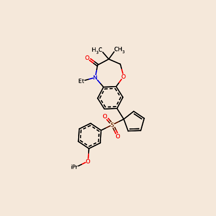 CCN1C(=O)C(C)(C)COc2cc(C3(S(=O)(=O)c4cccc(OC(C)C)c4)C=CC=C3)ccc21